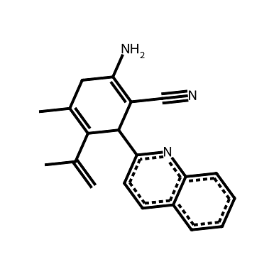 C=C(C)C1=C(C)CC(N)=C(C#N)C1c1ccc2ccccc2n1